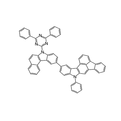 c1ccc(-c2nc(-c3ccccc3)nc(-n3c4ccc(-c5ccc6c(c5)c5c7cccc8c7c(cc5n6-c5ccccc5)-c5ccccc5-8)cc4c4c5ccccc5ccc43)n2)cc1